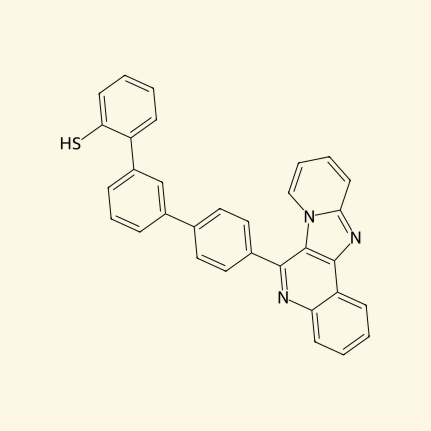 Sc1ccccc1-c1cccc(-c2ccc(-c3nc4ccccc4c4nc5ccccn5c34)cc2)c1